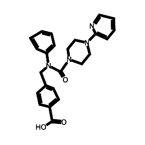 O=C(O)c1ccc(CN(C(=O)N2CCN(c3ccccn3)CC2)c2ccccc2)cc1